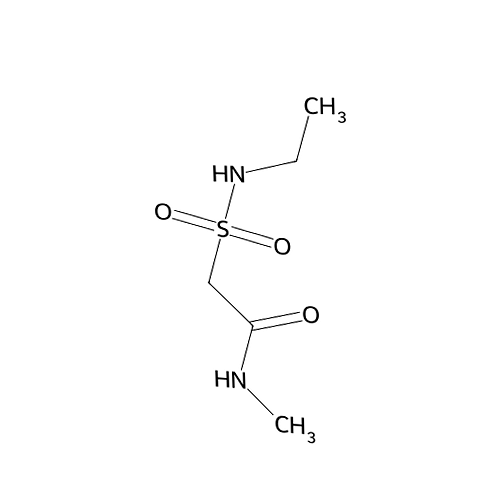 CCNS(=O)(=O)CC(=O)NC